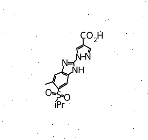 Cc1cc2nc(-n3cc(C(=O)O)cn3)[nH]c2cc1S(=O)(=O)C(C)C